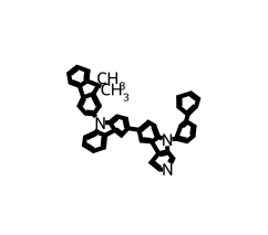 CC1(C)c2ccccc2-c2ccc(-n3c4ccccc4c4cc(-c5ccc6c(c5)c5ccncc5n6-c5cccc(-c6ccccc6)c5)ccc43)cc21